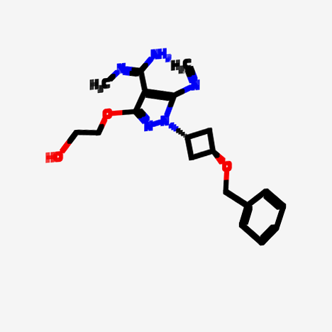 C=Nc1c(/C(N)=N\C)c(OCCO)nn1[C@H]1C[C@H](OCc2ccccc2)C1